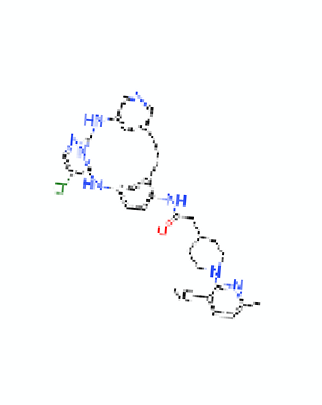 Cc1ccc(C#N)c(N2CCC(CC(=O)Nc3ccc4cc3CCc3cncc(c3)Nc3ncc(Cl)c(n3)N4)CC2)n1